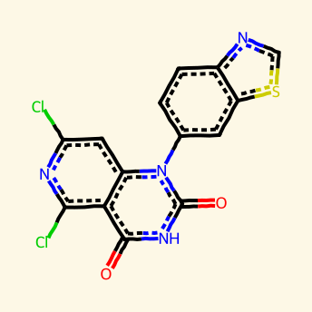 O=c1[nH]c(=O)n(-c2ccc3ncsc3c2)c2cc(Cl)nc(Cl)c12